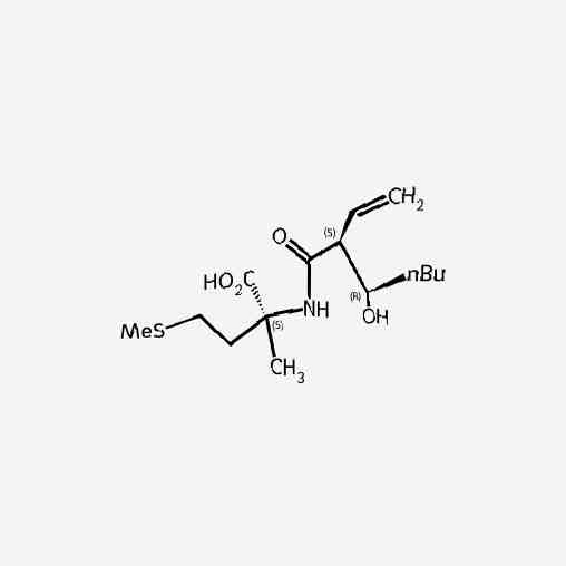 C=C[C@H](C(=O)N[C@@](C)(CCSC)C(=O)O)[C@H](O)CCCC